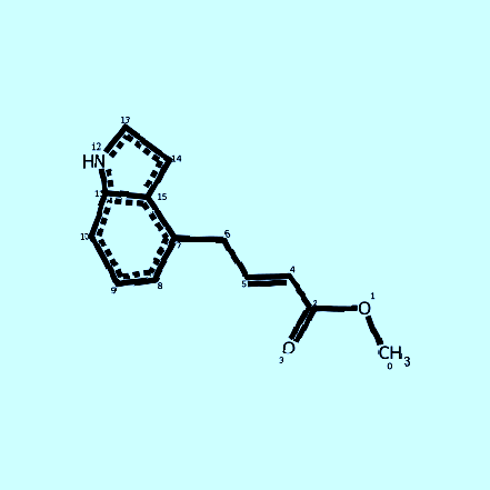 COC(=O)C=CCc1cccc2[nH]ccc12